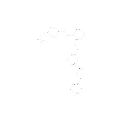 O=C(NCc1ccncc1)c1cc(CNc2ccccc2C(=O)Nc2ccc3c(c2)OC(F)(F)O3)ccn1